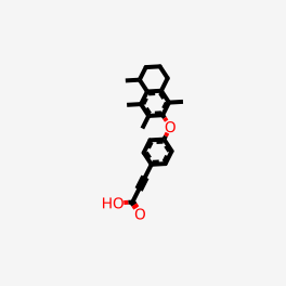 Cc1c(C)c2c(c(C)c1Oc1ccc(C#CC(=O)O)cc1)CCCC2C